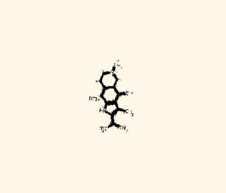 Cc1c(C(C)C)[nH]c2c1C(=O)C1CN(C)CCC1C2.Cl